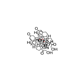 C[C@]12C[C@H](O)[C@H]3[C@@H](CCC4=CC(=O)CC(C(CCC(=O)O)C5CC(=O)C=C6CC[C@@H]7[C@H]([C@@H](O)C[C@@]8(C)[C@H]7CC[C@]8(O)C(=O)CO)[C@]65C)[C@@]43C)[C@@H]1CC[C@]2(O)C(=O)CO